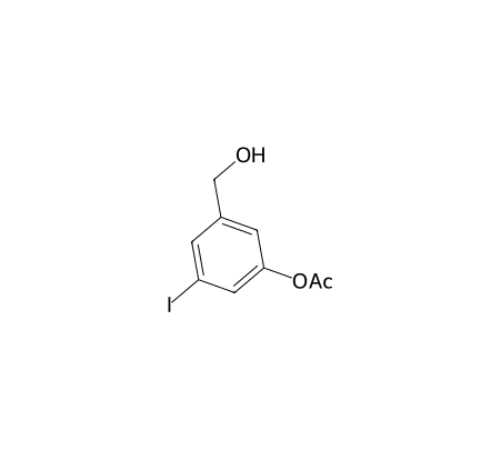 CC(=O)Oc1cc(I)cc(CO)c1